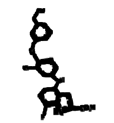 O=C(O)c1cc2c(Nc3ccc(Oc4cccc(CO)c4)c(Cl)c3)ccc(F)c2[nH]1